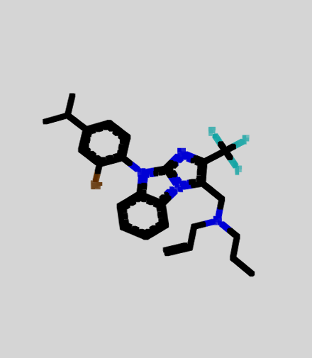 C=CCN(CCC)Cc1c(C(F)(F)F)nc2n(-c3ccc(C(C)C)cc3Br)c3ccccc3n12